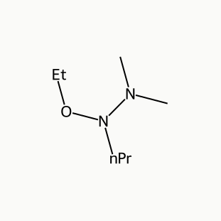 CCCN(OCC)N(C)C